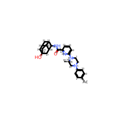 CC(=O)c1ccc(N2CCN(c3cccc(C(=O)NC4C5CC6CC4CC(O)(C6)C5)n3)[C@H](C)C2)cc1